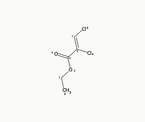 CCOC(=O)C(Cl)=CCl